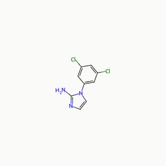 Nc1nccn1-c1cc(Cl)cc(Cl)c1